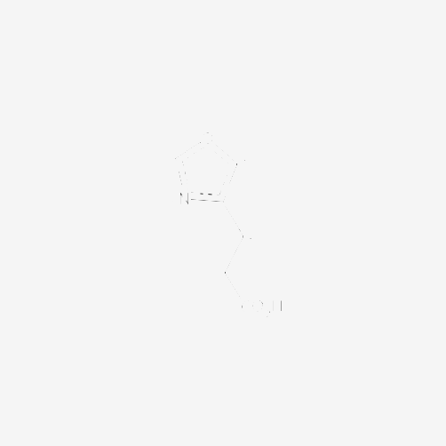 O=C(O)CCc1cocn1